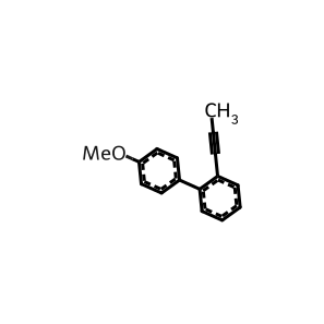 CC#Cc1ccccc1-c1ccc(OC)cc1